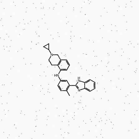 Cc1ccc(Nc2cccc3c2CCN(C2CC2)C3)cc1-c1nc2ccccc2[nH]1